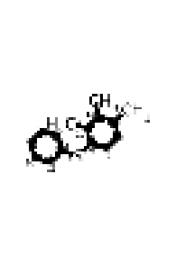 Cc1ccc(Sc2ccccc2)c(C)c1C